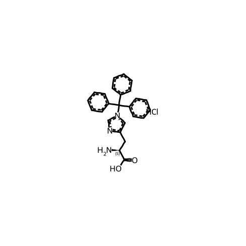 Cl.N[C@@H](Cc1cn(C(c2ccccc2)(c2ccccc2)c2ccccc2)cn1)C(=O)O